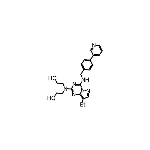 CCc1cnn2c(NCc3ccc(-c4cccnc4)cc3)nc(N(CCO)CCO)nc12